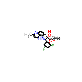 CSCC(O)(C(Nc1cccc2nc(C)ccc12)c1cc(F)cc(F)c1O)C(F)(F)F